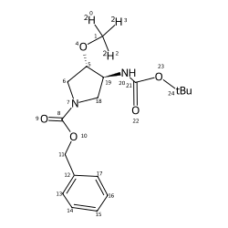 [2H]C([2H])([2H])O[C@H]1CN(C(=O)OCc2ccccc2)C[C@@H]1NC(=O)OC(C)(C)C